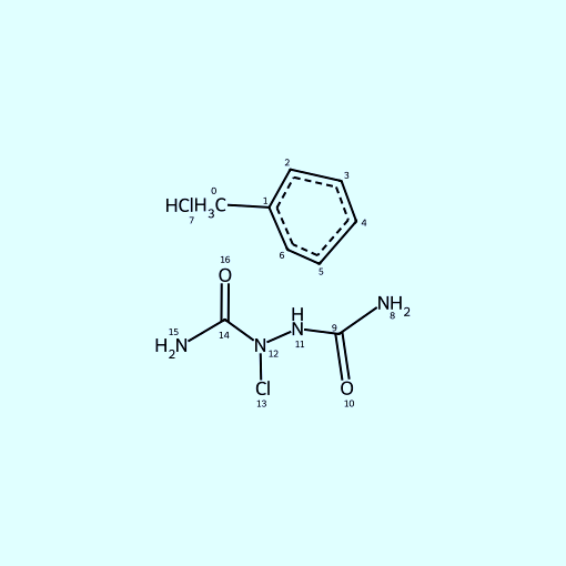 Cc1ccccc1.Cl.NC(=O)NN(Cl)C(N)=O